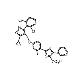 Cc1cc(OCc2c(-c3c(Cl)cccc3Cl)noc2C2CC2)ccc1-c1nc(-c2ccccc2)c(C(=O)O)s1